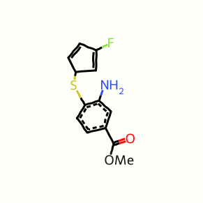 COC(=O)c1ccc(SC2C=CC(F)=C2)c(N)c1